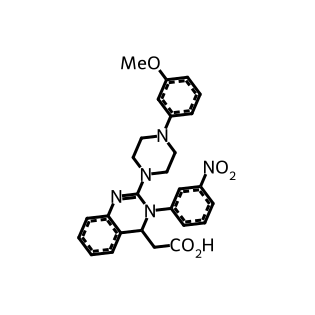 COc1cccc(N2CCN(C3=Nc4ccccc4C(CC(=O)O)N3c3cccc([N+](=O)[O-])c3)CC2)c1